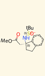 COC(=O)C[C@@]1(N[S@+]([O-])C(C)(C)C)CCc2ccccc21